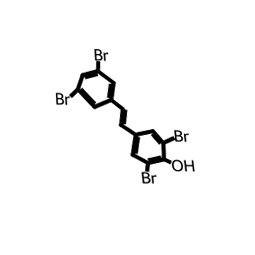 Oc1c(Br)cc(C=Cc2cc(Br)cc(Br)c2)cc1Br